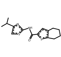 CC(C)c1csc(NC(=O)c2cc3c(s2)CCCC3)n1